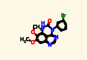 COc1cc2ncnc3c2c(c1OC)NC(=O)N3c1cccc(Br)c1